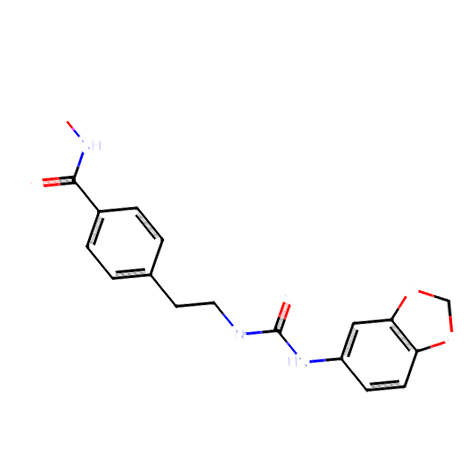 O=C(NCCc1ccc(C(=O)NO)cc1)Nc1ccc2c(c1)OCO2